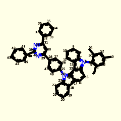 Cc1cc(C)c(-n2c3ccccc3c3c2ccc2c4ccccc4n(-c4ccc(-c5cc(-c6ccccc6)nc(-c6ccccc6)n5)cc4)c23)c(C)c1